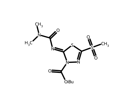 CC(C)COC(=O)n1nc(S(C)(=O)=O)sc1=NC(=O)N(C)C